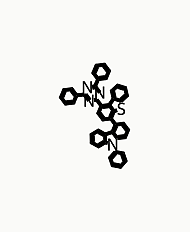 c1ccc(-c2nc(-c3ccccc3)nc(-c3ccc(-c4cccc5c4c4ccccc4n5-c4ccccc4)c4sc5ccccc5c34)n2)cc1